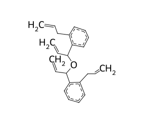 C=CCc1ccccc1C(C=C)OC(C=C)c1ccccc1CC=C